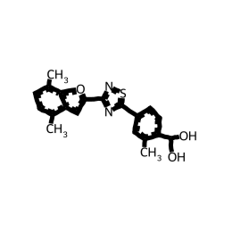 Cc1cc(-c2nc(-c3cc4c(C)ccc(C)c4o3)ns2)ccc1C(O)O